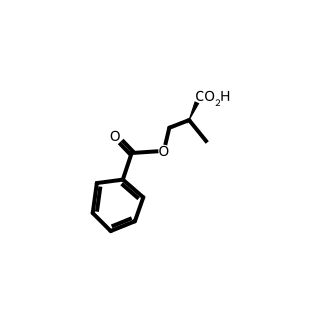 C[C@@H](COC(=O)c1ccccc1)C(=O)O